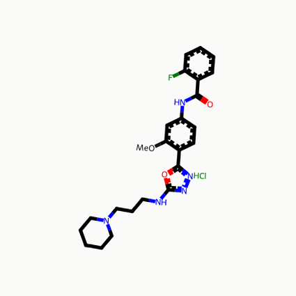 COc1cc(NC(=O)c2ccccc2F)ccc1-c1nnc(NCCCN2CCCCC2)o1.Cl